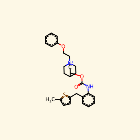 Cc1ccc(Cc2ccccc2NC(=O)OC2C[N+]3(CCOc4ccccc4)CCC2CC3)s1